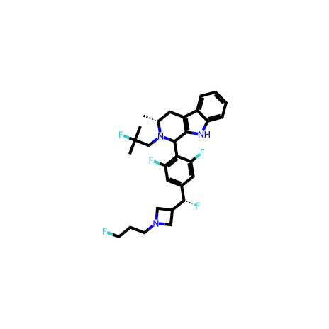 C[C@@H]1Cc2c([nH]c3ccccc23)C(c2c(F)cc([C@H](F)C3CN(CCCF)C3)cc2F)N1CC(C)(C)F